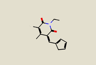 CC1=C(C#N)C(=O)N(CC(=O)O)C(=O)/C1=C\C1=CC=CC1